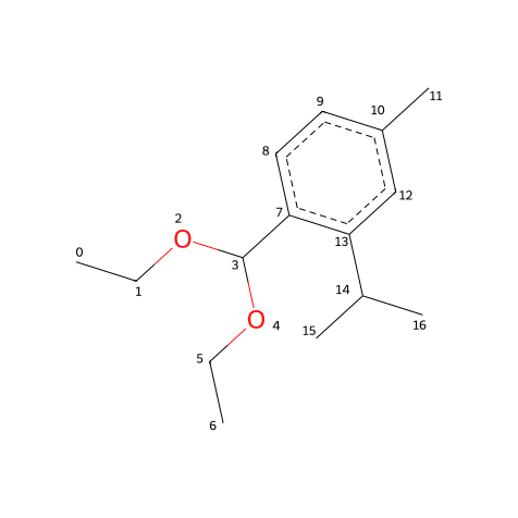 CCOC(OCC)c1ccc(C)cc1C(C)C